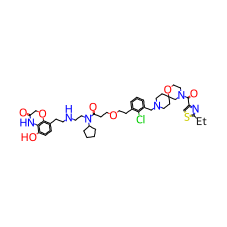 CCc1nc(C(=O)N2CCOC3(CCN(Cc4cccc(CCOCCC(=O)N(CCNCCc5ccc(O)c6c5OCC(=O)N6)C5CCCC5)c4Cl)CC3)C2)cs1